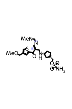 CN/C=N\C=C(/CN[C@H]1CC[C@@H](COS(N)(=O)=O)C1)C(=O)c1cc(COC)cs1